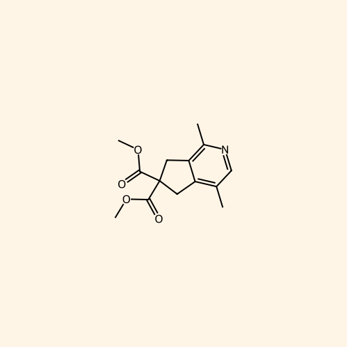 COC(=O)C1(C(=O)OC)Cc2c(C)cnc(C)c2C1